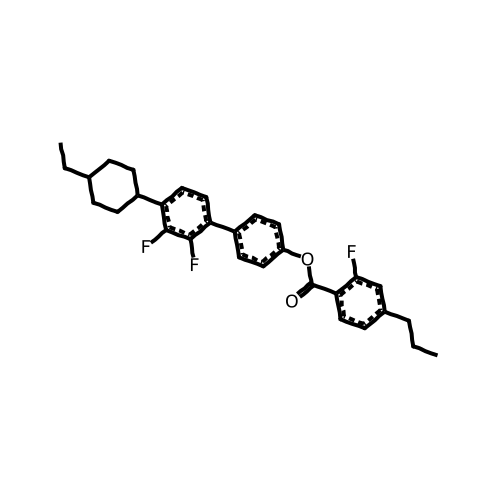 CCCc1ccc(C(=O)Oc2ccc(-c3ccc(C4CCC(CC)CC4)c(F)c3F)cc2)c(F)c1